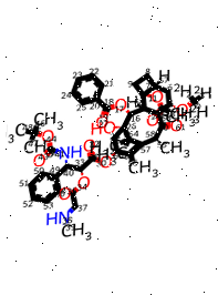 [2H]C([2H])([2H])O[C@H]1C[C@H]2CC[C@@]2(OC(C)=O)[C@H]2[C@H](OC(=O)c3ccccc3)[C@]3(O)C[C@H](OC(=O)[C@H](OC(=O)CNC)[C@@H](NC(=O)OC(C)(C)C)c4ccccc4)C(C)=C([C@@H](C)C(=O)[C@]12C)C3(C)C